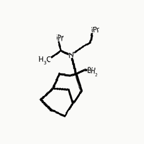 BC1(N(CC(C)C)C(C)C(C)C)CC2CCCC(C2)C1